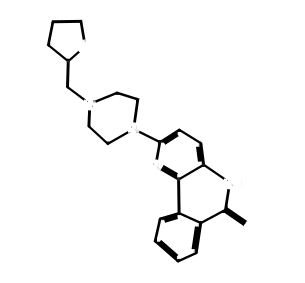 O=c1[nH]c2ccc(N3CCN(CC4CCCO4)CC3)nc2c2ccccc12